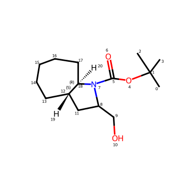 CC(C)(C)OC(=O)N1C(CO)C[C@@H]2CCCCC[C@H]21